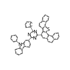 c1ccc(-c2nc(-c3ccc4c5ccccc5n(-c5ccccc5)c4c3)nc(-c3cc4ccc5ccccc5c4c4sc5c6ccccc6ccc5c34)n2)cc1